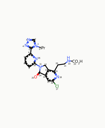 CC(C)n1cnnc1-c1cccc(N2Cc3c(cc(Cl)nc3CCNC(=O)O)C2=O)n1